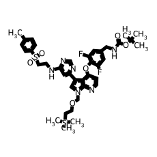 Cc1ccc(S(=O)(=O)CCNc2cc(-c3cn(COCC[Si](C)(C)C)c4nccc(Oc5c(F)cc(CNC(=O)OC(C)(C)C)cc5F)c34)ncn2)cc1